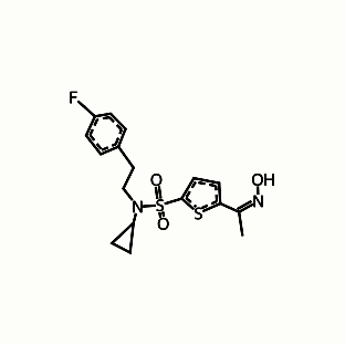 C/C(=N/O)c1ccc(S(=O)(=O)N(CCc2ccc(F)cc2)C2CC2)s1